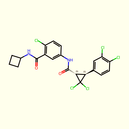 O=C(NC1CCC1)c1cc(NC(=O)[C@@H]2[C@@H](c3ccc(Cl)c(Cl)c3)C2(Cl)Cl)ccc1Cl